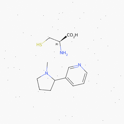 CN1CCCC1c1cccnc1.N[C@@H](CS)C(=O)O